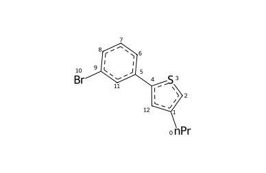 CCCc1csc(-c2cccc(Br)c2)c1